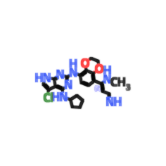 CN/C(=C\C=N)c1ccc(Nc2nc(NC3CCCC3)c3c(Cl)c[nH]c3n2)c2c1OCCO2